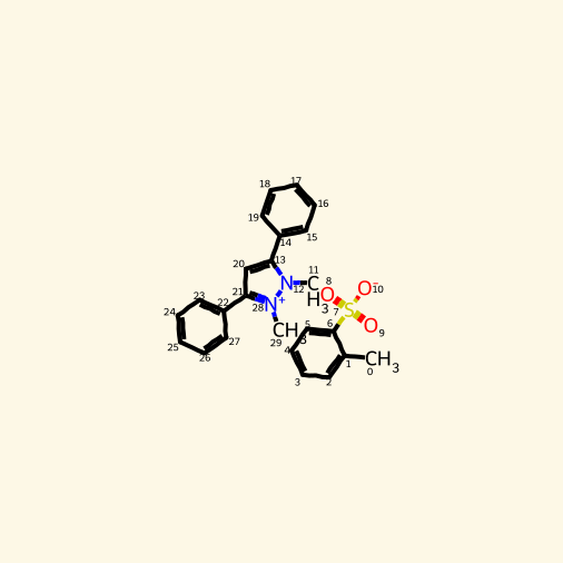 Cc1ccccc1S(=O)(=O)[O-].Cn1c(-c2ccccc2)cc(-c2ccccc2)[n+]1C